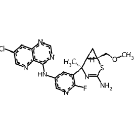 COC[C@]12C[C@H]1[C@](C)(c1cc(Nc3ncnc4cc(Cl)cnc34)cnc1F)N=C(N)S2